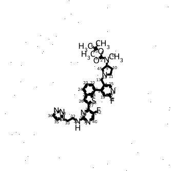 CN(C(=O)OC(C)(C)C)C1CCN(Cc2cnc(F)cc2-c2cccc3cc(-c4nc(NCCn5ccnn5)ncc4F)sc23)C1